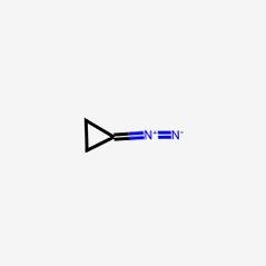 [N-]=[N+]=C1CC1